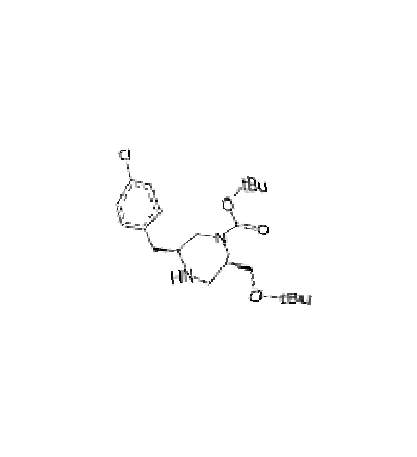 CC(C)(C)OC[C@H]1CN[C@@H](Cc2ccc(Cl)cc2)CN1C(=O)OC(C)(C)C